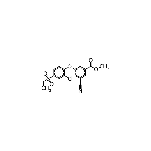 CCS(=O)(=O)c1ccc(Oc2cc(C#N)cc(C(=O)OC)c2)c(Cl)c1